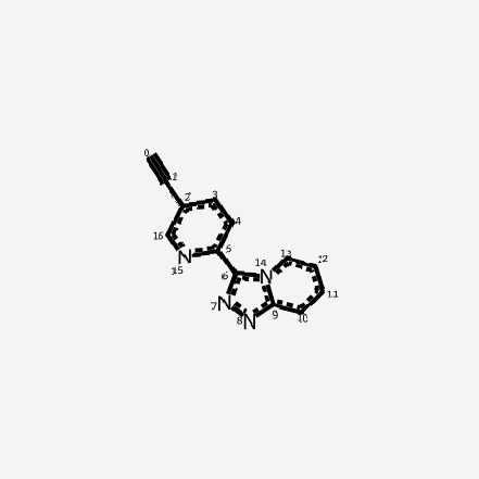 C#Cc1ccc(-c2nnc3ccccn23)nc1